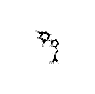 CC(C)C(=O)OC[C@@H]1CC[C@H](n2ccc(=O)[nH]c2=O)O1